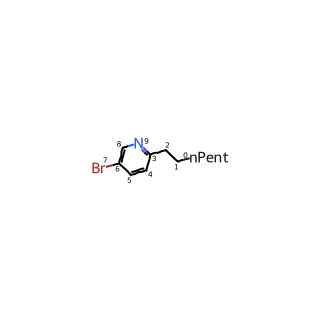 CCCCCCCc1ccc(Br)cn1